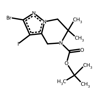 CC(C)(C)OC(=O)N1Cc2c(I)c(Br)nn2CC1(C)C